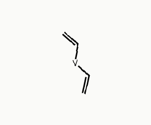 C=[CH][V][CH]=C